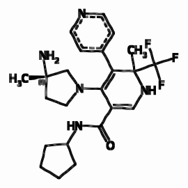 CC1(C(F)(F)F)NC=C(C(=O)NC2CCCC2)C(N2CC[C@](C)(N)C2)=C1c1ccncc1